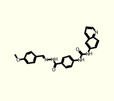 COc1ccc(C=NNC(=O)c2ccc(NC(=O)Nc3ccc4ncccc4c3)cc2)cc1